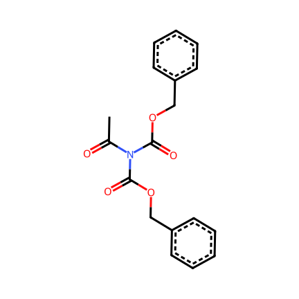 CC(=O)N(C(=O)OCc1ccccc1)C(=O)OCc1ccccc1